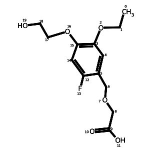 CCOc1cc(COCC(=O)O)c(F)cc1OCCO